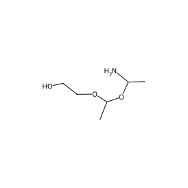 CC(N)OC(C)OCCO